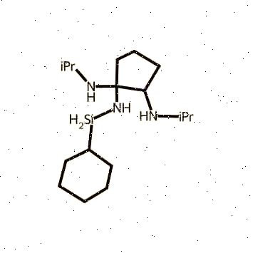 CC(C)NC1CCCC1(N[SiH2]C1CCCCC1)NC(C)C